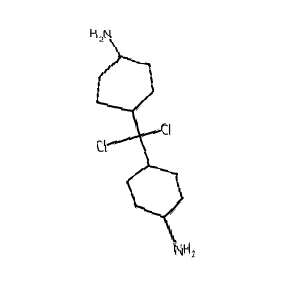 NC1CCC(C(Cl)(Cl)C2CCC(N)CC2)CC1